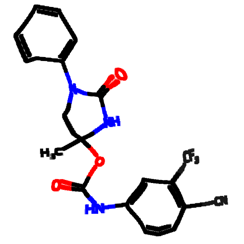 CC1(OC(=O)Nc2ccc(C#N)c(C(F)(F)F)c2)CN(c2ccccc2)C(=O)N1